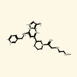 COCCOCC(=O)N1CCCC(c2cc(NCc3cccnc3)n3ncc(Br)c3n2)C1